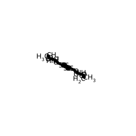 C=C(C)C(=O)OCCNC(=O)OCCCSc1ccc2c(c1)Sc1ccc(SCCCOC(=O)NCCOC(=O)C(=C)C)cc1S2